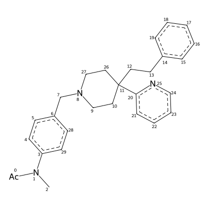 CC(=O)N(C)c1ccc(CN2CCC(CCc3ccccc3)(c3ccccn3)CC2)cc1